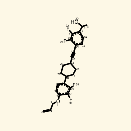 C=CCOc1ccc(C2CCC(C#Cc3ccc(C(C)O)c(F)c3F)CC2)c(F)c1F